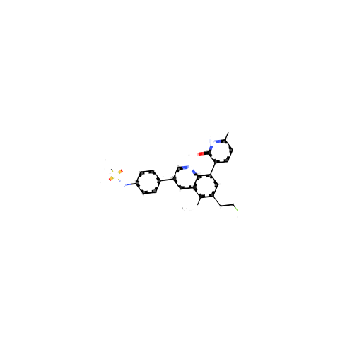 COc1c(CCF)cc(-c2ccc(C)[nH]c2=O)c2ncc(-c3ccc(NS(C)(=O)=O)cc3)cc12